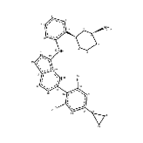 N[C@H]1CCC[C@@H](c2ccncc2Nc2ncc3ccc(-c4c(F)cc(C5CC5)cc4F)nn23)C1